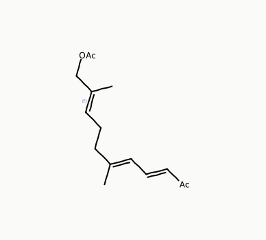 CC(=O)C=CC=C(C)CC/C=C(\C)COC(C)=O